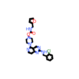 O=C(NCc1ccco1)ON1CCN(c2nccc3nc(NCc4ccccc4Cl)ncc23)CC1